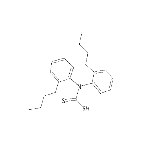 CCCCc1ccccc1N(C(=S)S)c1ccccc1CCCC